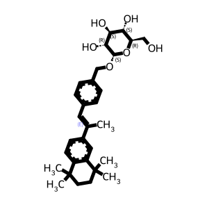 C/C(=C\c1ccc(CO[C@H]2O[C@H](CO)[C@@H](O)[C@H](O)[C@H]2O)cc1)c1ccc2c(c1)C(C)(C)CCC2(C)C